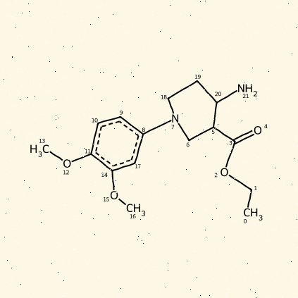 CCOC(=O)C1CN(c2ccc(OC)c(OC)c2)CCC1N